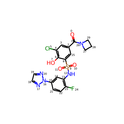 O=C(c1cc(Cl)c(O)c(S(=O)(=O)Nc2cc(-n3nccn3)ccc2F)c1)N1CCC1